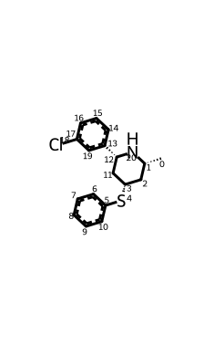 C[C@@H]1C[C@H](Sc2ccccc2)C[C@H](c2cccc(Cl)c2)N1